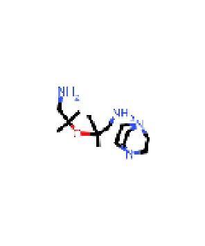 C1CN2CCN1CC2.CC(C)(CN)OC(C)(C)CN